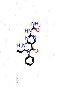 C=CCN(C(=O)c1cnc(NC(N)=O)nc1N)c1ccccc1